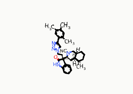 Cc1cc(C)c(-c2cn(CC[C@]3([C@@H]4C[C@H]5[C@@H](CCC[C@@H]5C)CN4C#N)C(=O)Nc4ccccc43)nn2)cc1C